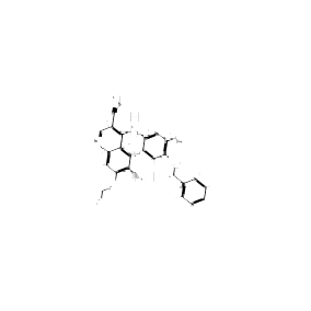 CCOc1cc2ncc(C#N)c(Nc3ccc(OCc4ccccc4)c(Cl)c3)c2cc1N